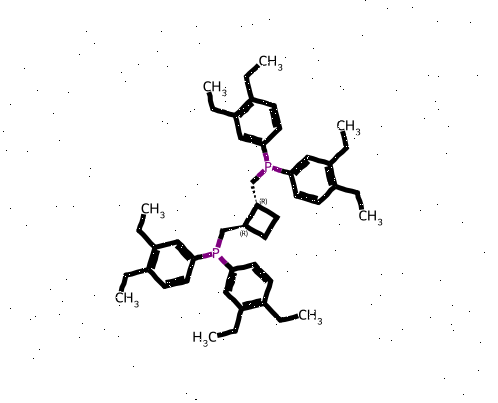 CCc1ccc(P(C[C@@H]2CC[C@H]2CP(c2ccc(CC)c(CC)c2)c2ccc(CC)c(CC)c2)c2ccc(CC)c(CC)c2)cc1CC